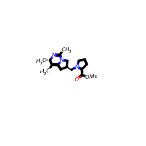 COC(=O)C1CCCN1C[C@H]1CC2=C(C)[C@H](C)N=C(C)N2C1